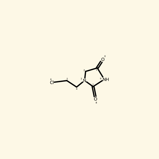 O=C1CN(CCCl)C(=O)N1